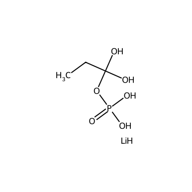 CCC(O)(O)OP(=O)(O)O.[LiH]